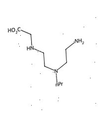 CCCN(CCN)CCNCC(=O)O